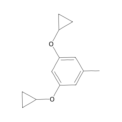 Cc1cc(OC2CC2)cc(OC2CC2)c1